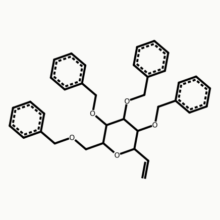 C=CC1OC(COCc2ccccc2)C(OCc2ccccc2)C(OCc2ccccc2)C1OCc1ccccc1